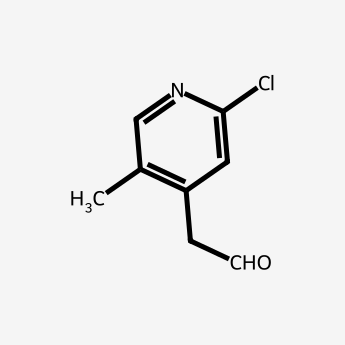 Cc1cnc(Cl)cc1CC=O